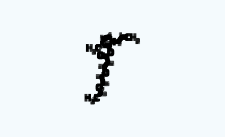 C=CCN1C=CN(C)C1OC(=O)CCOCCOCC